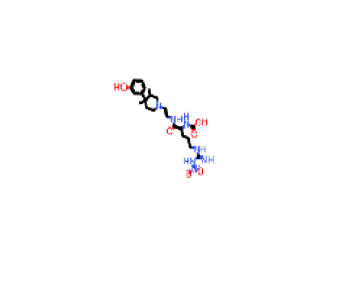 CC1CN(CCNC(=O)C(CCCNC(=N)N[N+](=O)[O-])NC(=O)O)CCC1(C)c1cccc(O)c1